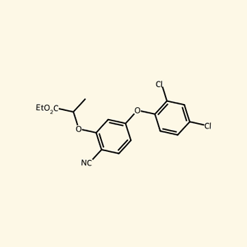 CCOC(=O)C(C)Oc1cc(Oc2ccc(Cl)cc2Cl)ccc1C#N